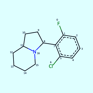 Fc1cccc(Cl)c1C1CCC2CCCCN21